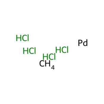 C.Cl.Cl.Cl.Cl.[Pd]